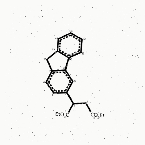 CCOC(=O)CC(C(=O)OCC)c1ccc2c(c1)-c1ccccc1C2